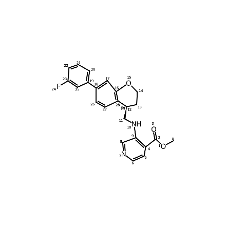 COC(=O)c1ccncc1NC[C@@H]1CCOc2cc(-c3cccc(F)c3)ccc21